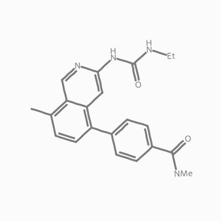 CCNC(=O)Nc1cc2c(-c3ccc(C(=O)NC)cc3)ccc(C)c2cn1